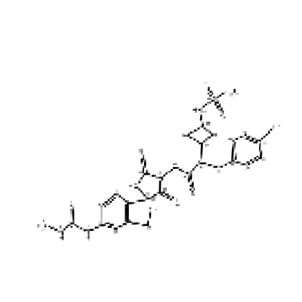 CNC(=O)Nc1ccc2c(c1)CC[C@@]21OC(=O)N(CC(=O)N(Cc2ccc(F)cc2)C2CC(NS(C)(=O)=O)C2)C1=O